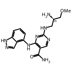 COC[C@H](N)CNc1ncc(C(N)=O)c(Nc2cccc3[nH]ncc23)n1